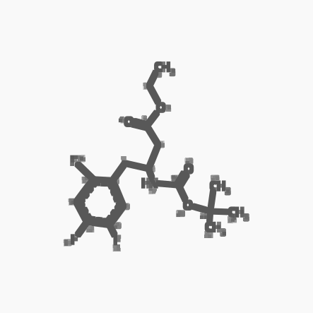 CCOC(=O)CC(Cc1cc(F)c(F)cc1F)NC(=O)OC(C)(C)C